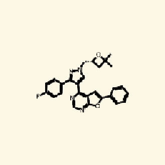 CC1(C)C[C@H](Cn2cc(-c3ncnc4oc(-c5ccccc5)cc34)c(-c3ccc(F)cc3)n2)O1